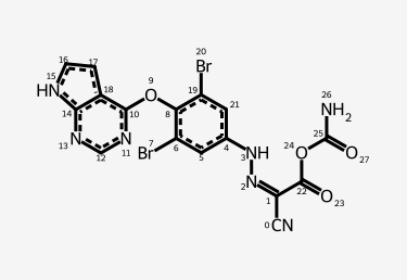 N#CC(=NNc1cc(Br)c(Oc2ncnc3[nH]ccc23)c(Br)c1)C(=O)OC(N)=O